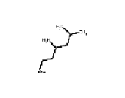 CCCCCCC(N)CC(C)N